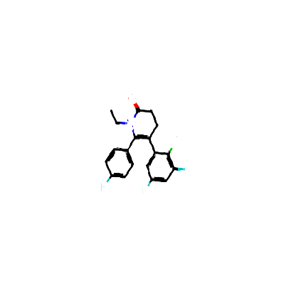 CCN1C(=O)CCC(c2cc(F)cc(F)c2Cl)=C1c1ccc(F)cc1